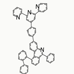 c1ccc(-c2ccccc2-c2cccc3c(-c4ccccc4)nc4cc(-c5ccc(-c6cc(-c7ccccn7)nc(-c7ccccn7)c6)cc5)ccc4c23)cc1